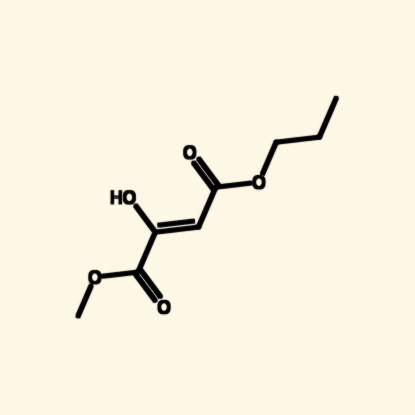 CCCOC(=O)C=C(O)C(=O)OC